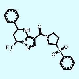 O=C(c1cnn2c1NC(c1ccccc1)CC2C(F)(F)F)N1CCC(S(=O)(=O)c2ccccc2)C1